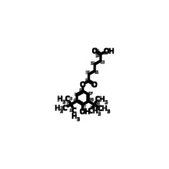 CC(C)(C)c1cc(OC(=O)CCCCC(=O)O)cc(C(C)(C)C)c1O